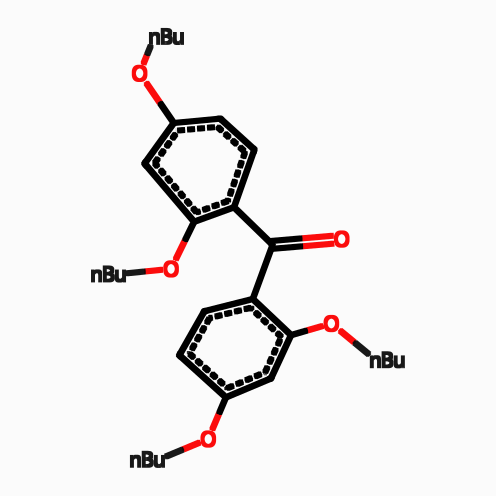 CCCCOc1ccc(C(=O)c2ccc(OCCCC)cc2OCCCC)c(OCCCC)c1